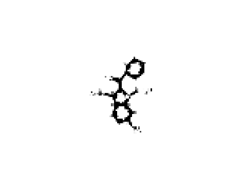 CCOC(=O)n1c(C(=O)c2ccccc2)c(NC(C)=O)c2ccc([N+](=O)[O-])cc21